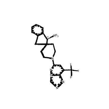 N[C@@H]1c2ccccc2CC12CCN(c1cc(C(F)(F)F)c3nncn3n1)CC2